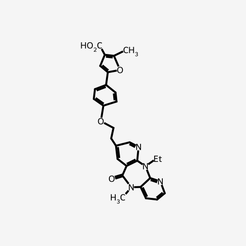 CCN1c2ncc(CCOc3ccc(-c4cc(C(=O)O)c(C)o4)cc3)cc2C(=O)N(C)c2cccnc21